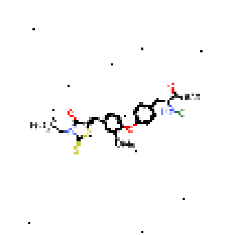 COC(=O)[C@H](Cc1ccc(Oc2ccc(/C=C3\SC(=S)N(CC(=O)O)C3=O)cc2OC)cc1)NCl